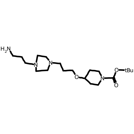 CC(C)(C)OC(=O)N1CCC(OCCCN2CCN(CCCN)CC2)CC1